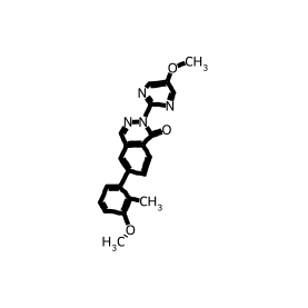 COc1cnc(-n2ncc3cc(-c4cccc(OC)c4C)ccc3c2=O)nc1